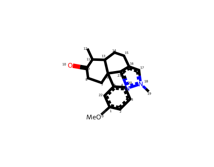 COc1cccc(C23CCC(=O)C(C)C2CCc2cn(C)nc23)c1